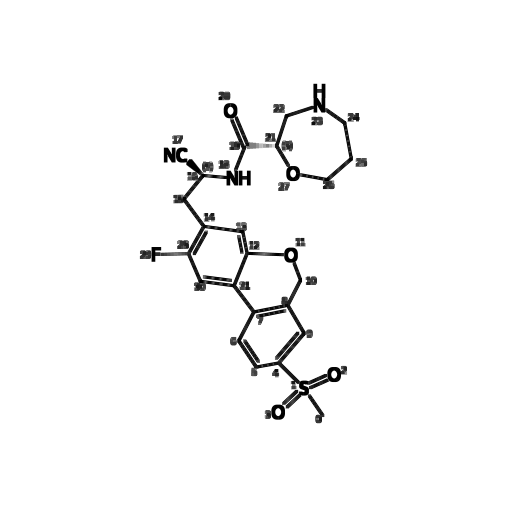 CS(=O)(=O)c1ccc2c(c1)COc1cc(C[C@@H](C#N)NC(=O)[C@@H]3CNCCCO3)c(F)cc1-2